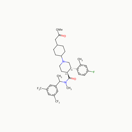 COC(=O)CC1CCC(N2CC[C@H](C(=O)N(C)C(C)c3cc(C(F)(F)F)cc(C(F)(F)F)c3)[C@@H](c3ccc(F)cc3C)C2)CC1